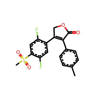 Cc1ccc(C2=C(c3cc(F)c(S(C)(=O)=O)cc3F)COC2=O)cc1